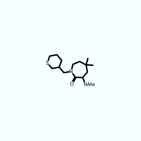 CNC1CC(C)(C)CCN(CC2CCCSC2)C1=O